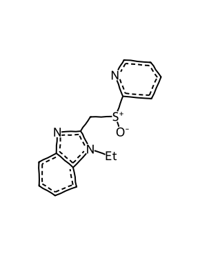 CCn1c(C[S+]([O-])c2ccccn2)nc2ccccc21